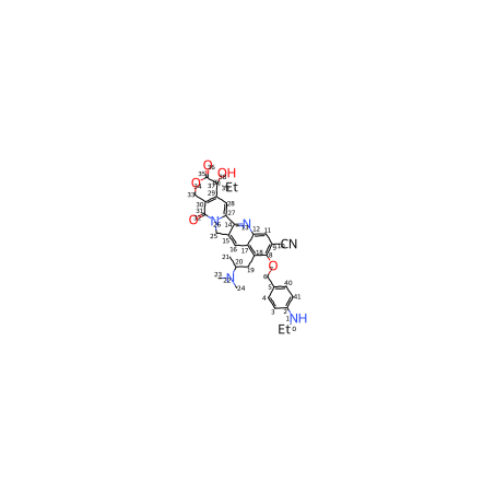 CCNc1ccc(COc2c(C#N)cc3nc4c(cc3c2CC(C)N(C)C)Cn2c-4cc3c(c2=O)COC(=O)[C@]3(O)CC)cc1